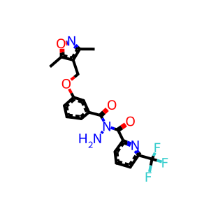 Cc1noc(C)c1COc1cccc(C(=O)N(N)C(=O)c2cccc(C(F)(F)F)n2)c1